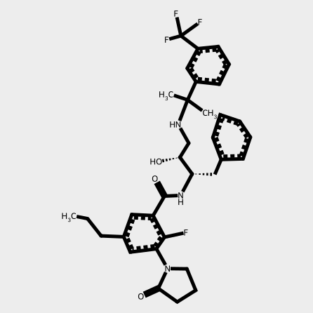 CCCc1cc(C(=O)N[C@@H](Cc2ccccc2)[C@H](O)CNC(C)(C)c2cccc(C(F)(F)F)c2)c(F)c(N2CCCC2=O)c1